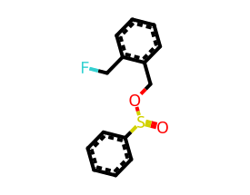 O=S(OCc1ccccc1CF)c1ccccc1